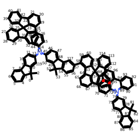 CC1(C)c2ccccc2-c2ccc(N(c3ccc(-c4cccc5c4C4(c6ccccc6-c6ccccc64)c4ccccc4-5)cc3)c3ccc4c(c3)C(C)(C)c3ccc(-c5cccc6c5-c5cccc(-c7ccc(N(c8ccc9c(c8)C(C)(C)c8ccccc8-9)c8ccccc8-c8ccccc8)cc7)c5C65c6ccccc6-c6ccccc65)cc3-4)cc21